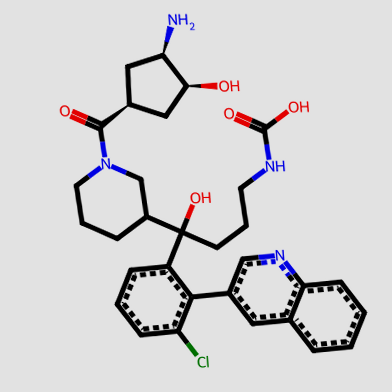 N[C@@H]1C[C@H](C(=O)N2CCCC(C(O)(CCCNC(=O)O)c3cccc(Cl)c3-c3cnc4ccccc4c3)C2)C[C@@H]1O